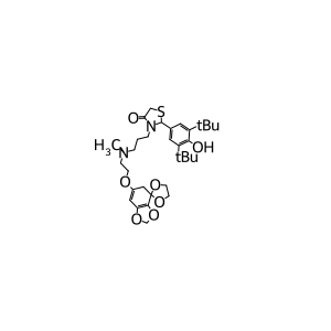 CN(CCCN1C(=O)CSC1c1cc(C(C)(C)C)c(O)c(C(C)(C)C)c1)CCOC1=CC2=C(OCO2)C2(C1)OCCO2